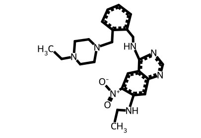 CCNc1cc2ncnc(NCc3ccccc3CN3CCN(CC)CC3)c2cc1[N+](=O)[O-]